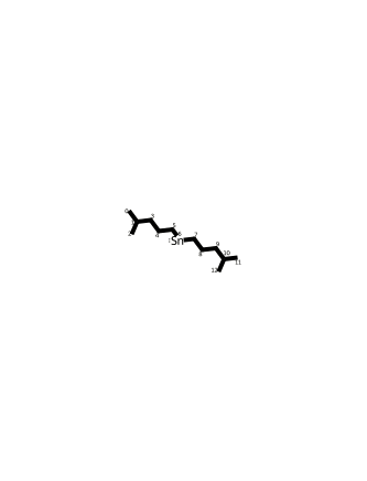 CC(C)CC[CH2][Sn][CH2]CCC(C)C